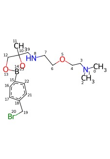 CN(C)CCOCCNCC1(C)COB(c2ccc(CBr)cc2)O1